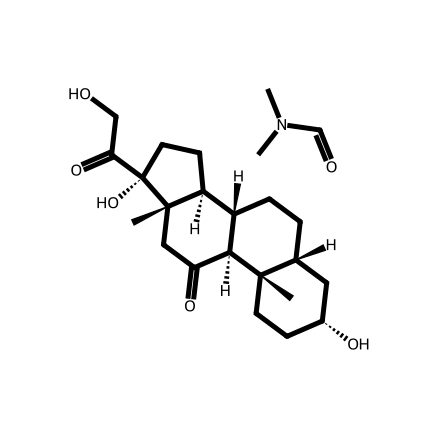 CN(C)C=O.C[C@]12CC[C@@H](O)C[C@H]1CC[C@@H]1[C@@H]2C(=O)C[C@@]2(C)[C@H]1CC[C@]2(O)C(=O)CO